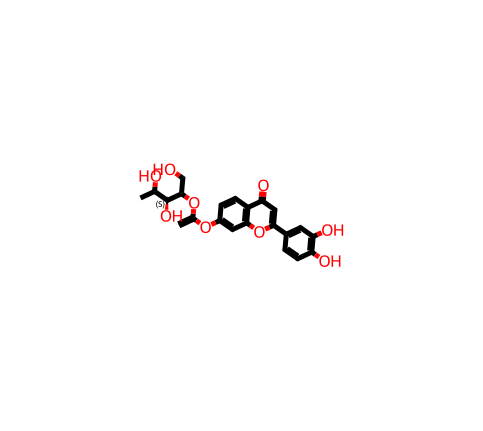 C=C(Oc1ccc2c(=O)cc(-c3ccc(O)c(O)c3)oc2c1)OC(CO)[C@@H](O)C(C)O